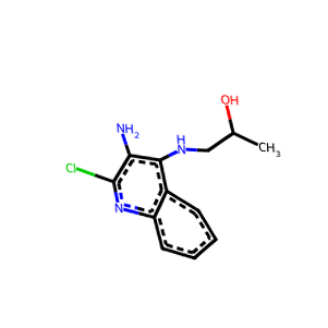 CC(O)CNc1c(N)c(Cl)nc2ccccc12